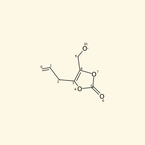 C=CCc1oc(=O)oc1C[O]